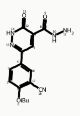 CC(C)COc1ccc(-c2cc(C(=O)NN)c(=O)[nH]n2)cc1C#N